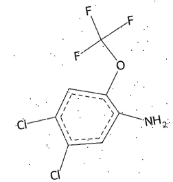 Nc1cc(Cl)c(Cl)cc1OC(F)(F)F